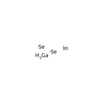 [GaH3].[In].[Se].[Se]